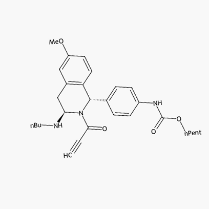 C#CC(=O)N1[C@@H](c2ccc(NC(=O)OCCCCC)cc2)c2ccc(OC)cc2C[C@@H]1NCCCC